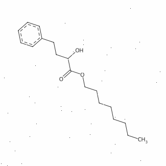 CCCCCCCCOC(=O)C(O)CCc1ccccc1